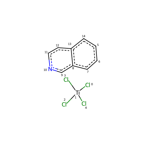 [Cl][Ti]([Cl])([Cl])[Cl].c1ccc2cnccc2c1